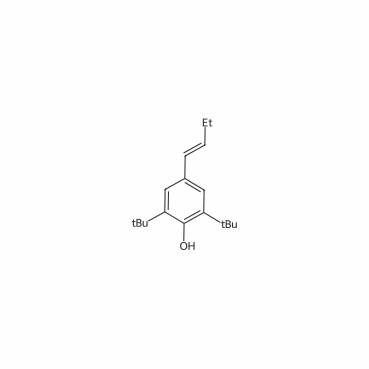 CC/C=C/c1cc(C(C)(C)C)c(O)c(C(C)(C)C)c1